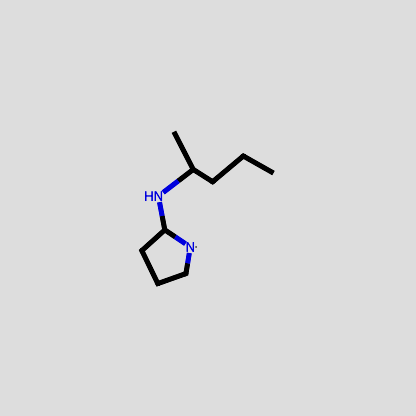 CCCC(C)NC1CCC[N]1